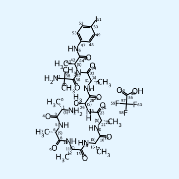 C[C@H](N)C(=O)N[C@@H](C)C(=O)N[C@@H](C)C(=O)N[C@@H](C)C(=O)N[C@@H](C)C(=O)N[C@@H](C)C(=O)N[C@@H](C)C(=O)N(C(=O)C(C)(C)N)[C@@H](C)C(=O)Nc1ccc(I)cc1.O=C(O)C(F)(F)F